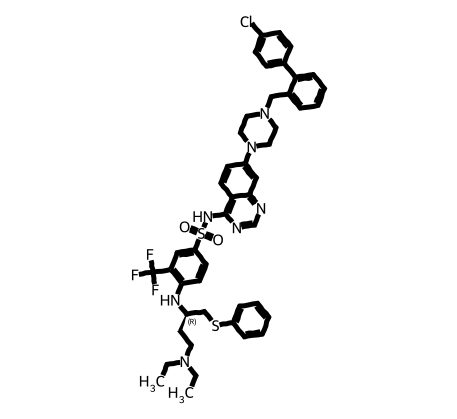 CCN(CC)CC[C@H](CSc1ccccc1)Nc1ccc(S(=O)(=O)Nc2ncnc3cc(N4CCN(Cc5ccccc5-c5ccc(Cl)cc5)CC4)ccc23)cc1C(F)(F)F